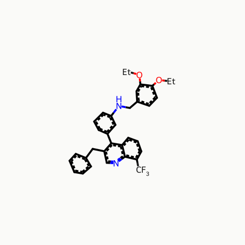 CCOc1ccc(CNc2cccc(-c3c(Cc4ccccc4)cnc4c(C(F)(F)F)cccc34)c2)cc1OCC